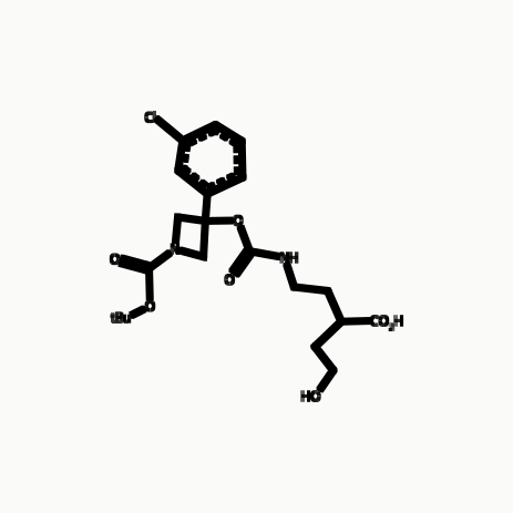 CC(C)(C)OC(=O)N1CC(OC(=O)NCCC(CCO)C(=O)O)(c2cccc(Cl)c2)C1